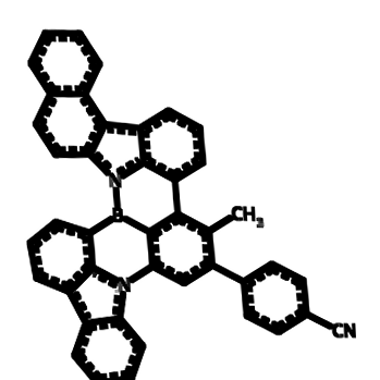 Cc1c(-c2ccc(C#N)cc2)cc2c3c1-c1cccc4c5c6ccccc6ccc5n(c14)B3c1cccc3c4ccccc4n-2c13